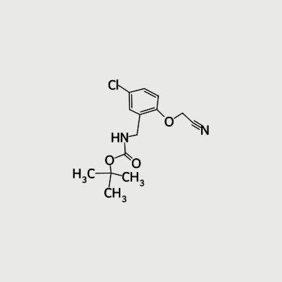 CC(C)(C)OC(=O)NCc1cc(Cl)ccc1OCC#N